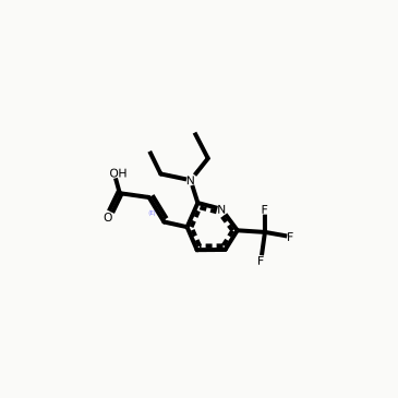 CCN(CC)c1nc(C(F)(F)F)ccc1/C=C/C(=O)O